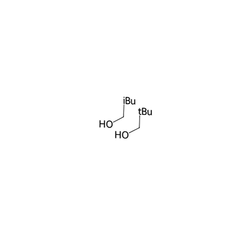 CC(C)(C)CO.CCC(C)CO